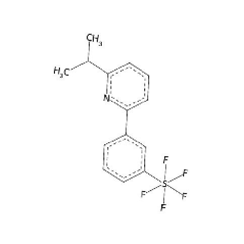 CC(C)c1cccc(-c2cccc(S(F)(F)(F)(F)F)c2)n1